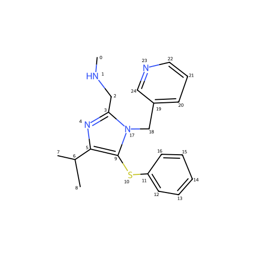 CNCc1nc(C(C)C)c(Sc2ccccc2)n1Cc1cccnc1